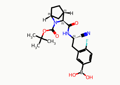 CC(C)(C)OC(=O)N1[C@@H]2CC[C@@H](C2)[C@H]1C(=O)N[C@H](C#N)Cc1cc(B(O)O)ccc1F